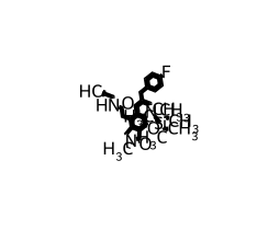 C#CCNC(=O)Cc1c2c(c(O[Si](C(C)C)(C(C)C)C(C)C)c3ncc(Cc4ccc(F)cc4)cc13)C(=O)N(C)C2